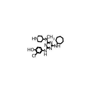 CN(c1nc(Nc2ccc(O)c(Cl)c2)nc(NC2CCCCCC2)n1)C1CCNCC1